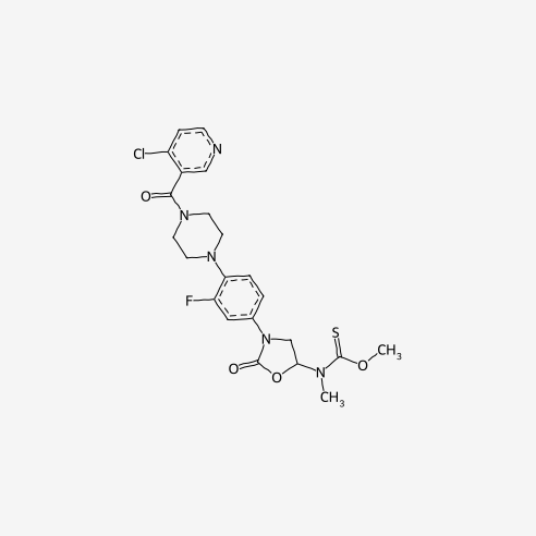 COC(=S)N(C)C1CN(c2ccc(N3CCN(C(=O)c4cnccc4Cl)CC3)c(F)c2)C(=O)O1